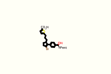 CCCCC[C@H](O)c1ccc(C2=C(Br)CCC2CCCc2ccc(C(=O)O)s2)cc1